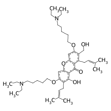 CCN(CC)CCCCCOc1cc2oc3cc(OCCCCCN(CC)CC)c(CO)c(CC=C(C)C)c3c(=O)c2c(O)c1CC=C(C)C